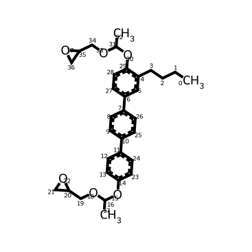 CCCCc1cc(-c2ccc(-c3ccc(OC(C)OCC4CO4)cc3)cc2)ccc1OC(C)OCC1CO1